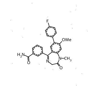 COc1cc2c(cc1-c1ccc(F)cc1)C(c1cccc(C(N)=O)c1)=NCC(=O)N2C